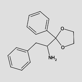 NC(Cc1ccccc1)C1(c2ccccc2)OCCO1